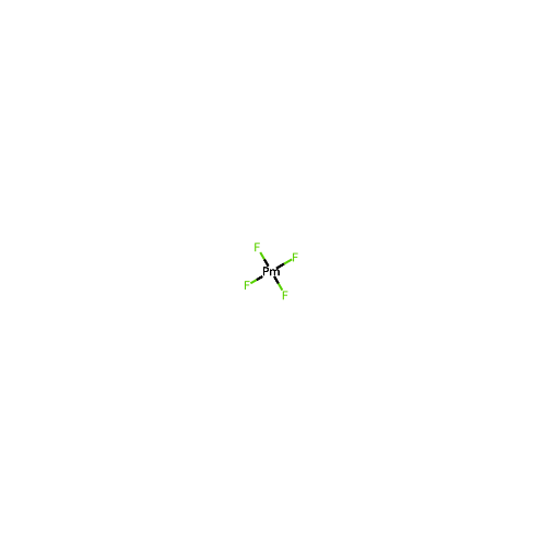 [F][Pm]([F])([F])[F]